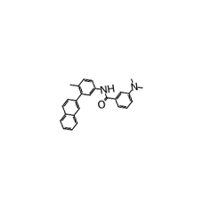 Cc1ccc(NC(=O)c2cccc(N(C)C)c2)cc1-c1ccc2ccccc2c1